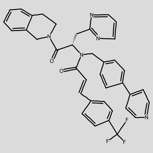 O=C([C@H](Cc1ncccn1)N(Cc1ccc(-c2ccncc2)cc1)C(=O)/C=C/c1ccc(C(F)(F)F)cc1)N1CCc2ccccc2C1